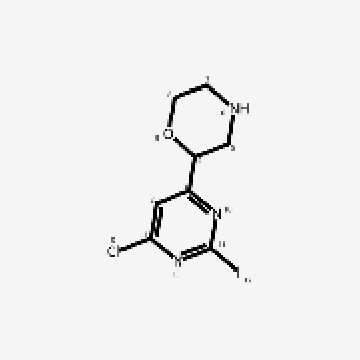 Clc1cc(C2CNCCO2)nc(I)n1